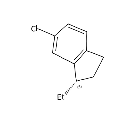 CC[C@H]1CCc2ccc(Cl)cc21